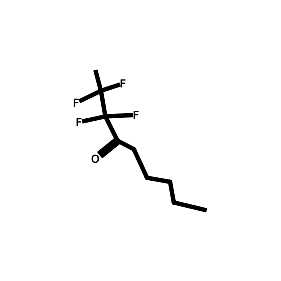 CCCCCC(=O)C(F)(F)C(C)(F)F